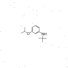 CC(C)Oc1cccc(NC(C)(C)C)c1